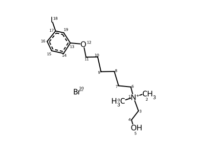 C[N+](C)(CCO)CCCCCCOc1cccc(I)c1.[Br-]